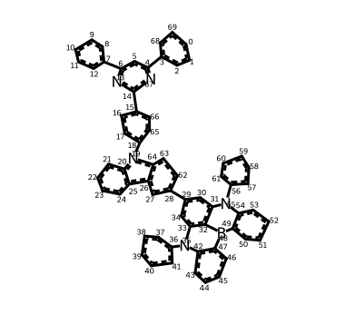 c1ccc(-c2cc(-c3ccccc3)nc(-c3ccc(-n4c5ccccc5c5cc(-c6cc7c8c(c6)N(c6ccccc6)c6ccccc6B8c6ccccc6N7c6ccccc6)ccc54)cc3)n2)cc1